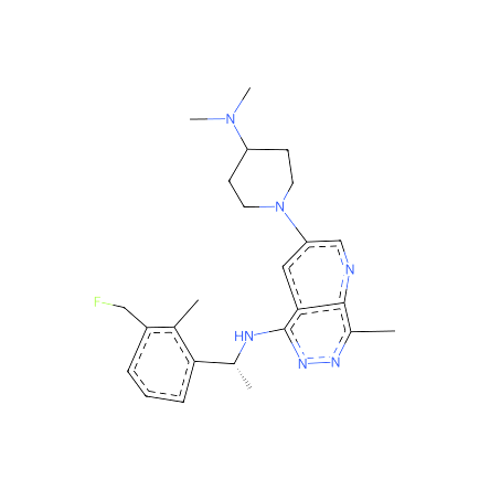 Cc1c(CF)cccc1[C@@H](C)Nc1nnc(C)c2ncc(N3CCC(N(C)C)CC3)cc12